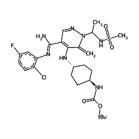 C=C1C(N[C@H]2CC[C@H](NC(=O)OC(C)(C)C)CC2)=C(/C(N)=N/c2cc(F)ccc2Cl)C=NN1C(C)NS(C)(=O)=O